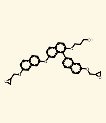 OCCCOc1ccc2ccc(Oc3ccc4ccc(OCC5CO5)cc4c3)cc2c1-c1ccc2ccc(OCC3CO3)cc2c1